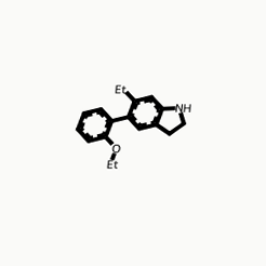 CCOc1ccccc1-c1cc2c(cc1CC)NCC2